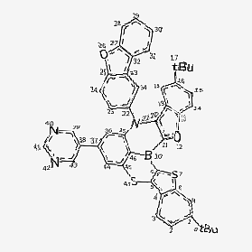 CC(C)(C)c1ccc2c3c(sc2c1)B1c2oc4ccc(C(C)(C)C)cc4c2N(c2ccc4oc5ccccc5c4c2)c2cc(-c4cncnc4)cc(c21)S3